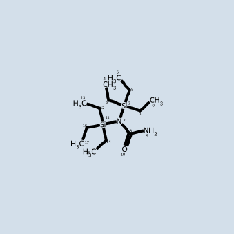 CC[Si](CC)(CC)N(C(N)=O)[Si](CC)(CC)CC